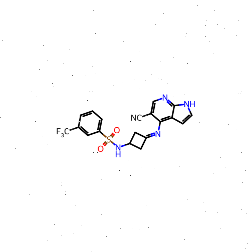 N#Cc1cnc2[nH]ccc2c1N=C1CC(NS(=O)(=O)c2cccc(C(F)(F)F)c2)C1